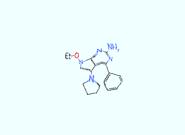 CCOn1cc(N2CCCC2)c2c(-c3ccccc3)nc(N)nc21